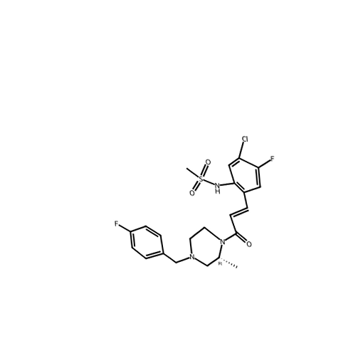 C[C@@H]1CN(Cc2ccc(F)cc2)CCN1C(=O)C=Cc1cc(F)c(Cl)cc1NS(C)(=O)=O